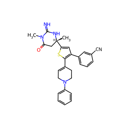 CN1C(=N)N[C@](C)(c2cc(-c3cccc(C#N)c3)c(C3=CCN(c4ccccc4)CC3)s2)CC1=O